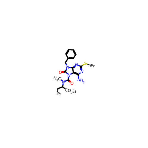 CCCSc1nc(N)c2c(n1)n(Cc1ccccc1)c(=O)n2C(=O)N(C)C(CC(C)C)C(=O)OCC